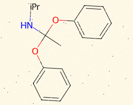 CC(C)NC(C)(Oc1ccccc1)Oc1ccccc1